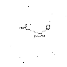 O=C(O)CCCCCC[C@H]1C(F)CC(=O)[C@@H]1CCc1ccccc1